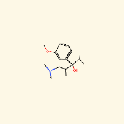 COc1cccc(C(O)(C(C)C)C(C)CN(C)C)c1